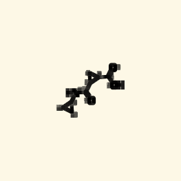 O=C(O)C1CC1C(=O)NC1CC1